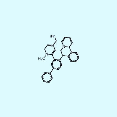 CC(C)CC1=CCN(C)C(c2cc(-c3ccccc3)ccc2[C@H]2CN3C=CC=CC3c3ccccc32)=C1